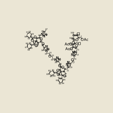 CC(=O)OC[C@H]1O[C@H](O[C@]2(CCl)O[C@H](Cn3cc(COCc4cn(C[C@H]5O[C@H](OCc6cn(CCOCCn7cc(CO[C@H]8O[C@H](Cn9cc(C)nn9)[C@@H](OC(=O)c9ccccc9)[C@H](OC(=O)c9ccccc9)[C@@H]8C)nn7)nn6)[C@@H](OC(=O)c6ccccc6)[C@@H](OC(=O)c6ccccc6)[C@@H]5C)nn4)nn3)[C@@H](OC(C)=O)[C@@H]2OC(C)=O)[C@H](C)[C@@H](C)[C@H]1Cl